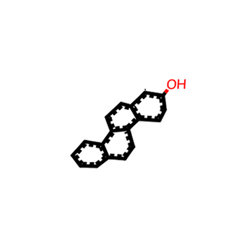 Oc1[c]c2ccc3c4ccccc4ccc3c2cc1